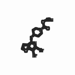 CC(C)(C)OC(=O)N1CCC(Sc2nc(Br)c(Br)c3occc23)CC1